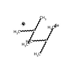 CCCCCCCCCCCCP(CCCCCCCCCCCC)CCCCCCCCCCCC.CCCCCCCCCCCCP(CCCCCCCCCCCC)CCCCCCCCCCCC.[C]=O.[C]=O.[C]=O.[Fe]